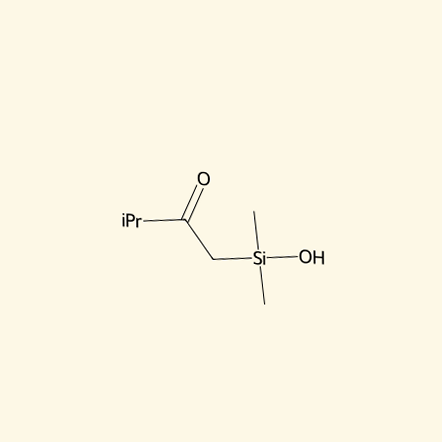 CC(C)C(=O)C[Si](C)(C)O